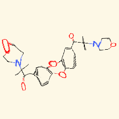 CC(C)(C(=O)c1ccc2c(c1)Oc1cc(C(=O)C(C)(C)N3CCOCC3)ccc1O2)N1CCOCC1